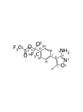 Cc1onc(N)c1-c1ccc(C(OC(=O)C(F)(F)F)(C(F)(F)F)C(F)(F)F)cc1